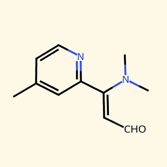 Cc1ccnc(C(=CC=O)N(C)C)c1